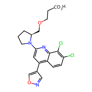 O=C(O)CCOC[C@@H]1CCCN1c1cc(-c2cnoc2)c2ccc(Cl)c(Cl)c2n1